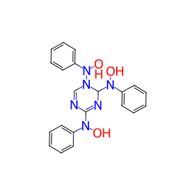 ON(C1=NC(N(O)c2ccccc2)N(N(O)c2ccccc2)C=N1)c1ccccc1